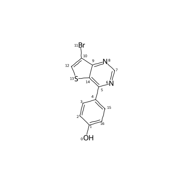 Oc1ccc(-c2ncnc3c(Br)csc23)cc1